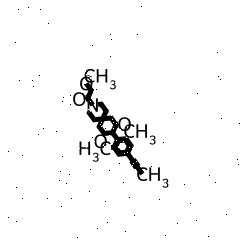 CC#Cc1cc(C)c(C2C(=O)CC3(CCN(C(=O)COC)CC3)CC2=O)c(C)c1